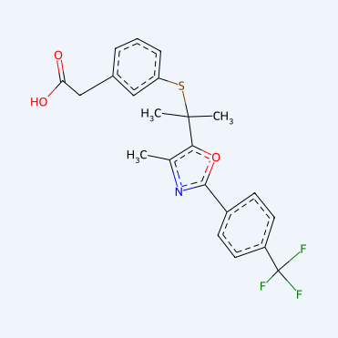 Cc1nc(-c2ccc(C(F)(F)F)cc2)oc1C(C)(C)Sc1cccc(CC(=O)O)c1